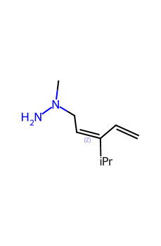 C=C/C(=C\CN(C)N)C(C)C